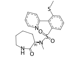 CSc1cccc(S(=O)(=O)N(C)[C@@H]2CCCCNC2=O)c1-c1ccccn1